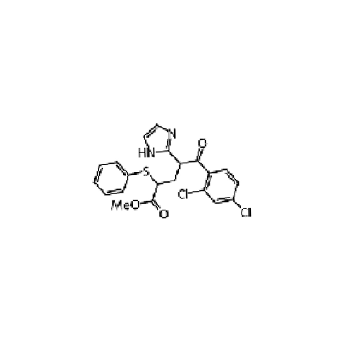 COC(=O)C(CC(C(=O)c1ccc(Cl)cc1Cl)c1ncc[nH]1)Sc1ccccc1